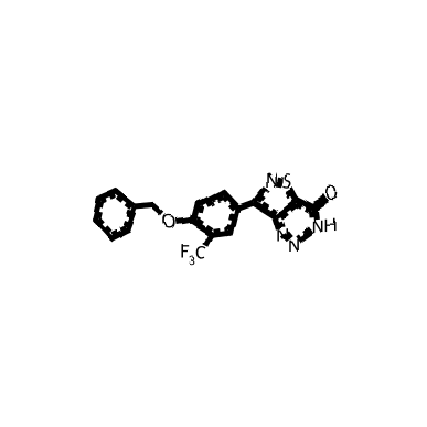 O=c1[nH]nnc2c(-c3ccc(OCc4ccccc4)c(C(F)(F)F)c3)nsc12